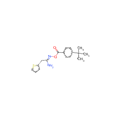 CC(C)(C)c1ccc(C(=O)O/N=C(\N)Cc2cccs2)cc1